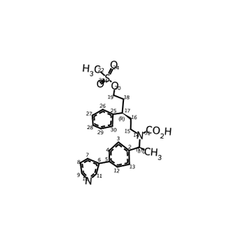 C[C@@H](c1ccc(-c2cccnc2)cc1)N(CC[C@H](CCOS(C)(=O)=O)c1ccccc1)C(=O)O